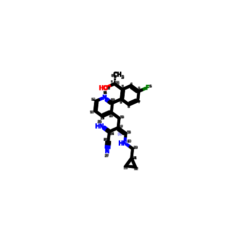 C[C@@H](O)c1cc(F)ccc1-c1ncccc1C/C(=C/NCC1CC1)C(=N)C#N